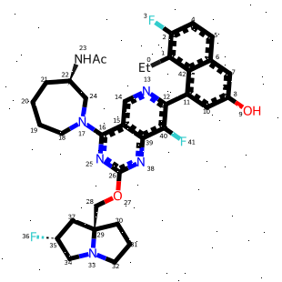 CCc1c(F)ccc2cc(O)cc(-c3ncc4c(N5CCCC[C@@H](NC(C)=O)C5)nc(OC[C@@]56CCCN5C[C@H](F)C6)nc4c3F)c12